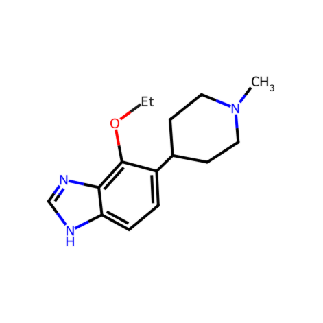 CCOc1c(C2CCN(C)CC2)ccc2[nH]cnc12